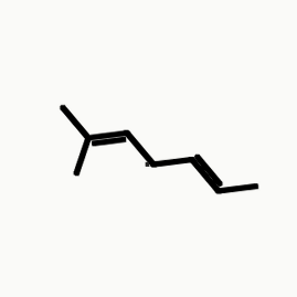 CC=C[CH]C=C(C)C